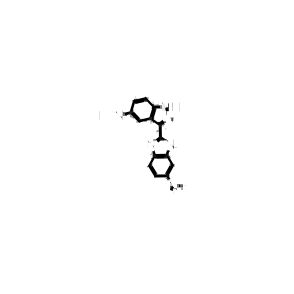 CCN(CC)c1ccc2nc(-c3n[nH]c4ccc(N)cc34)[nH]c2c1